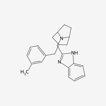 Cc1cccc(CC2CC3CCC(C2)N3Cc2nc3ccccc3[nH]2)c1